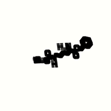 CC(C)(C)OC(=O)NCCCC[C@H](N)C(=O)OCc1ccccc1